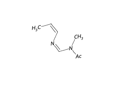 C/C=C\N=C/N(C)C(C)=O